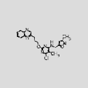 Cc1cc(CNc2nc(OCCCc3cnc4ccccc4n3)nc(Cl)c2C)on1